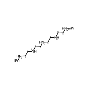 CC(C)NCCNCCNCCNCCNC(C)C